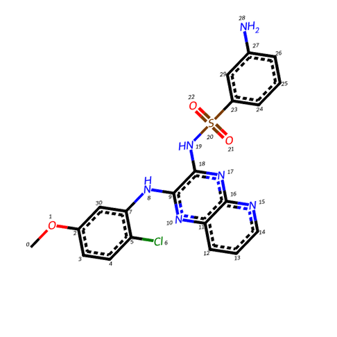 COc1ccc(Cl)c(Nc2nc3cccnc3nc2NS(=O)(=O)c2cccc(N)c2)c1